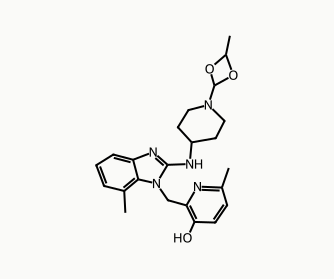 Cc1ccc(O)c(Cn2c(NC3CCN(C4OC(C)O4)CC3)nc3cccc(C)c32)n1